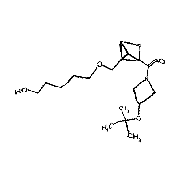 CC(C)(C)OC1CN(C(=O)C23CC(C2)C3COCCCCCO)C1